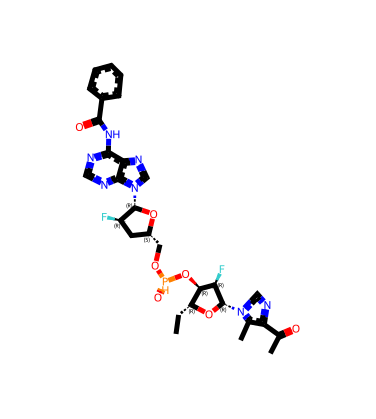 CC[C@H]1O[C@@H](n2cnc(C(C)=O)c2C)[C@H](F)[C@@H]1O[PH](=O)OC[C@@H]1C[C@@H](F)[C@H](n2cnc3c(NC(=O)c4ccccc4)ncnc32)O1